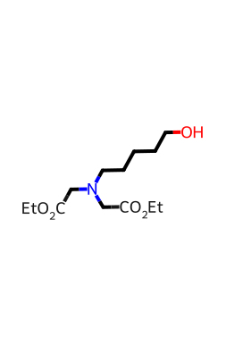 CCOC(=O)CN(CCCCCO)CC(=O)OCC